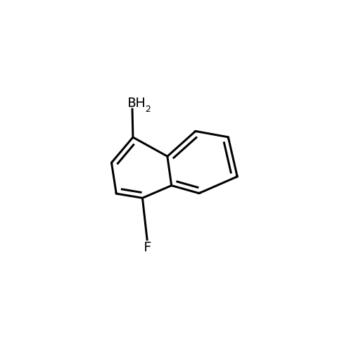 Bc1ccc(F)c2ccccc12